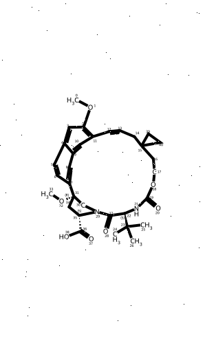 COc1cc2ccc3cc2cc1C=CCC1(CCOC(=O)N[C@@H](C(C)(C)C)C(=O)N2C[C@@]3(OC)C[C@H]2C(=O)O)CC1